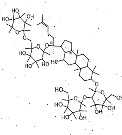 CC(C)=CCC[C@](C)(OC1(C)OC(C)(COC2(C)OC(C)(C)C(C)(O)C(C)(O)C2(C)O)C(C)(O)C(C)(O)C1O)C1CC[C@]2(C)C1C(O)CC1C3(C)CCC(OC4(C)OC(C)(CO)C(C)(O)C(C)(O)C4OC4(C)OC(C)(CO)C(C)(O)C(C)(O)C4(C)O)C(C)(C)C3CCC12C